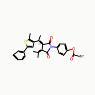 CC(C)=C1C(=O)N(c2ccc(OC(=O)C(C)C)cc2)C(=O)/C1=C(\C)c1cc(-c2ccccc2)sc1C